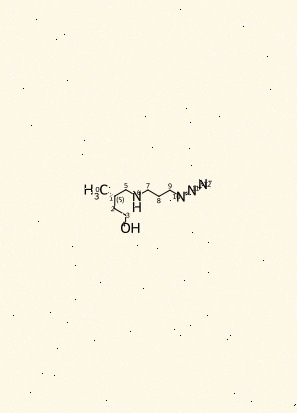 C[C@@H](CCO)CNCCCN=[N+]=[N-]